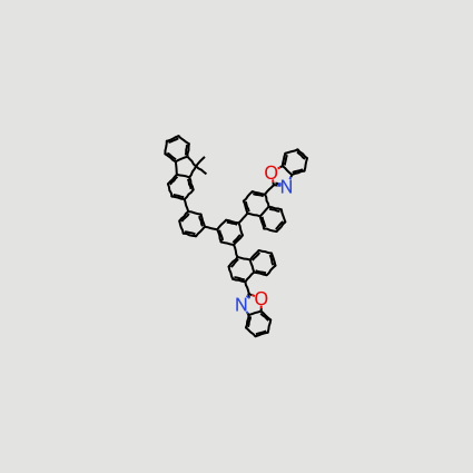 CC1(C)c2ccccc2-c2ccc(-c3cccc(-c4cc(-c5ccc(-c6nc7ccccc7o6)c6ccccc56)cc(-c5ccc(-c6nc7ccccc7o6)c6ccccc56)c4)c3)cc21